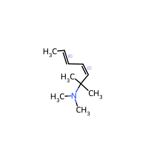 C/C=C/C=C\C(C)(C)N(C)C